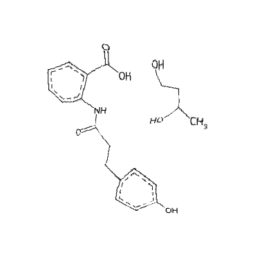 CC(O)CCO.O=C(CCc1ccc(O)cc1)Nc1ccccc1C(=O)O